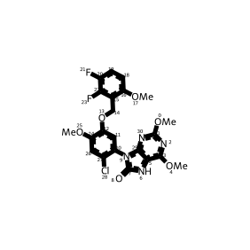 COc1nc(OC)c2[nH]c(=O)n(-c3cc(OCc4c(OC)ccc(F)c4F)c(OC)cc3Cl)c2n1